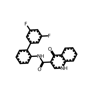 O=C(Nc1ccccc1-c1cc(F)cc(F)c1)c1c[nH]c2ccccc2c1=O